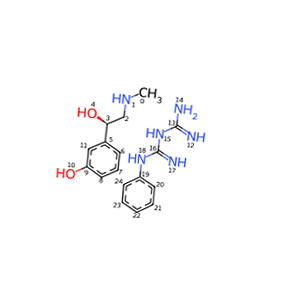 CNC[C@H](O)c1cccc(O)c1.N=C(N)NC(=N)Nc1ccccc1